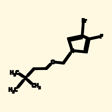 C[Si](C)(C)CCOCn1cc(F)c(Br)c1